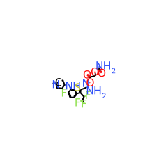 CN1CCC(Nc2cccc3c(C(F)C(F)F)c(C(N)=NOC(=O)COC(N)=O)sc23)C(F)C1